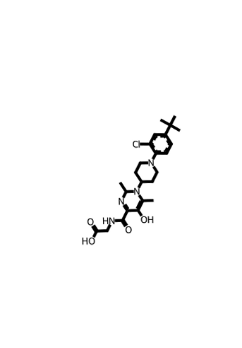 CC1=C(O)C(C(=O)NCC(=O)O)=NC(C)N1C1CCN(c2ccc(C(C)(C)C)cc2Cl)CC1